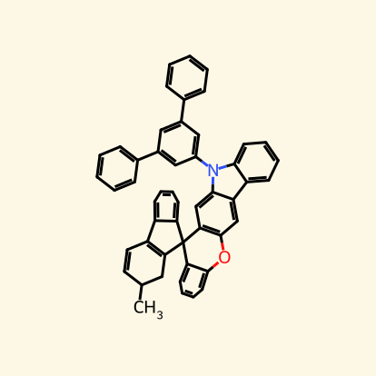 CC1C=CC2=C(C1)C1(c3ccccc3Oc3cc4c5ccccc5n(-c5cc(-c6ccccc6)cc(-c6ccccc6)c5)c4cc31)c1ccccc12